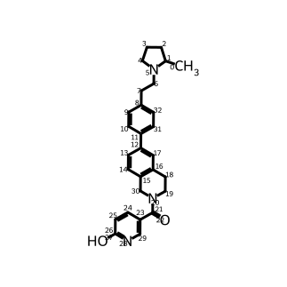 CC1CCCN1CCc1ccc(-c2ccc3c(c2)CCN(C(=O)c2ccc(O)nc2)C3)cc1